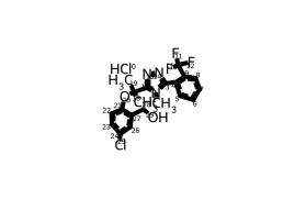 Cl.Cn1c(-c2ccccc2C(F)(F)F)nnc1C(C)(C)Oc1ccc(Cl)cc1CO